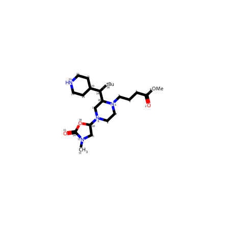 COC(=O)CCCN1CCN(C2CN(C)C(=O)O2)CC1C(C1CCNCC1)C(C)(C)C